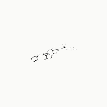 C=C1CCC2C3CO[C@@H](CCC(=O)OC)OC3CCC2(C)C1CCOc1ccncc1